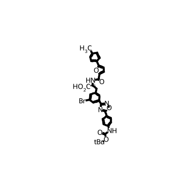 Cc1ccc(-c2ccc(C(=O)N[C@H](Cc3cc(Br)cc(-c4noc(-c5ccc(NC(=O)OC(C)(C)C)cc5)n4)c3)C(=O)O)o2)cc1